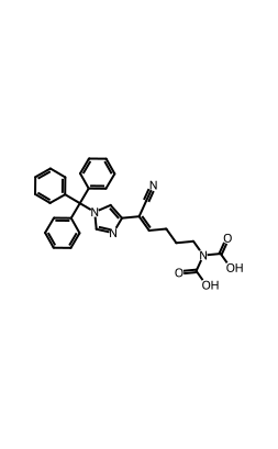 N#C/C(=C\CCCN(C(=O)O)C(=O)O)c1cn(C(c2ccccc2)(c2ccccc2)c2ccccc2)cn1